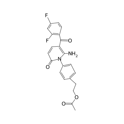 CC(=O)OCCc1ccc(-n2c(N)c(C(=O)c3ccc(F)cc3F)ccc2=O)cc1